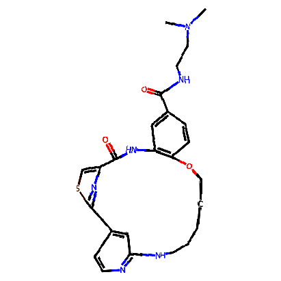 CN(C)CCNC(=O)c1ccc2c(c1)NC(=O)c1csc(n1)-c1ccnc(c1)NCCCCCO2